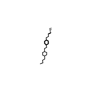 CCCCC1CCC(CCc2ccc(CCC=CF)cc2)CC1